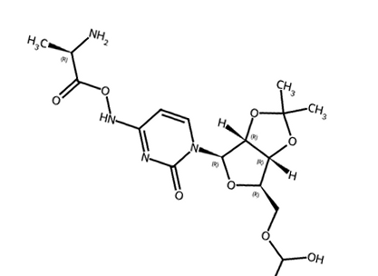 CC(C)C(O)OC[C@H]1O[C@@H](n2ccc(NOC(=O)[C@@H](C)N)nc2=O)[C@@H]2OC(C)(C)O[C@@H]21